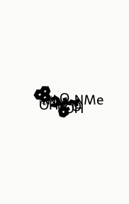 CNC(=O)CCC(=O)N(c1ccccc1O)C1CCN([C@H]2c3cccc4cccc(c34)[C@@H]2O)CC1